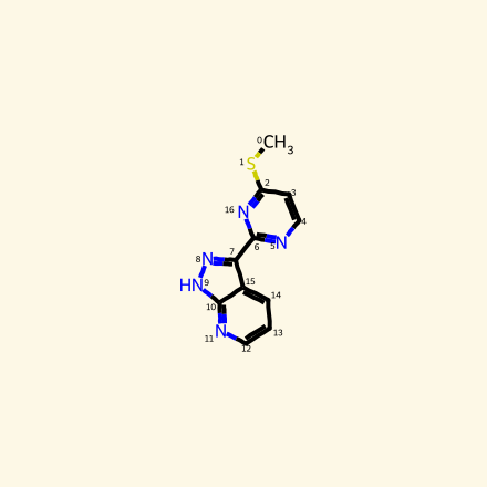 CSc1ccnc(-c2n[nH]c3ncccc23)n1